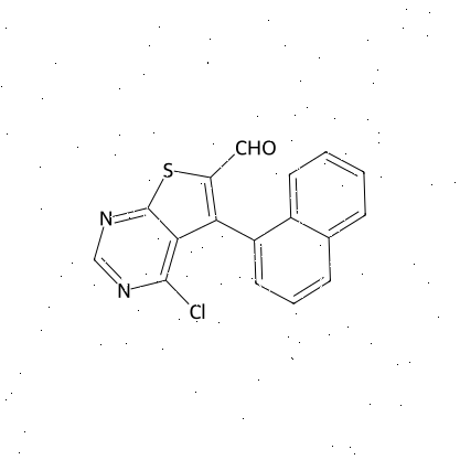 O=Cc1sc2ncnc(Cl)c2c1-c1cccc2ccccc12